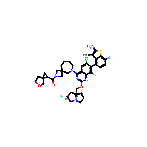 N#Cc1c(N)sc2c(F)ccc(-c3c(Cl)cc4c(N5CCCCC6(CN(C(=O)C7CC78CCOC8)C6)C5)nc(OC[C@@]56CCCN5C[C@H](F)C6)nc4c3F)c12